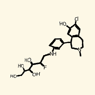 CN1CCc2cc(Cl)c(O)cc2C(c2cccc(NCC(F)C(O)C(O)C(O)CO)c2)C1